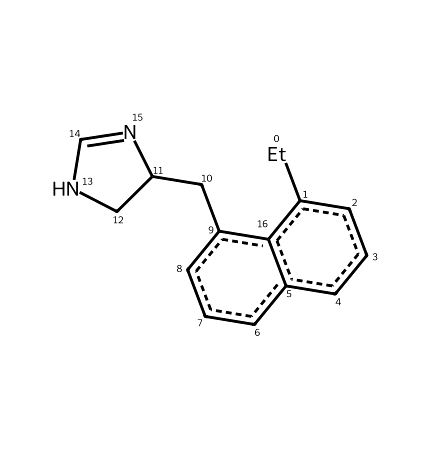 CCc1cccc2cccc(CC3CNC=N3)c12